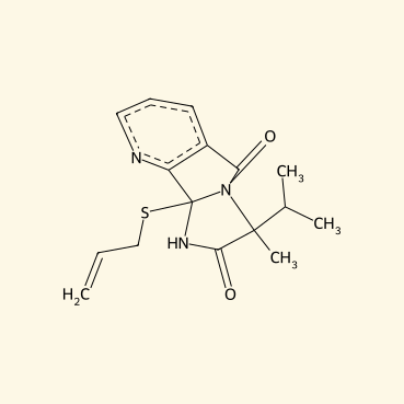 C=CCSC12NC(=O)C(C)(C(C)C)N1C(=O)c1cccnc12